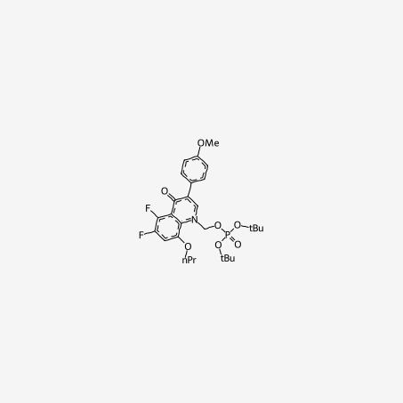 CCCOc1cc(F)c(F)c2c(=O)c(-c3ccc(OC)cc3)cn(COP(=O)(OC(C)(C)C)OC(C)(C)C)c12